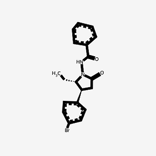 CC[C@H]1[C@H](c2ccc(Br)cc2)CC(=O)N1NC(=O)c1ccccc1